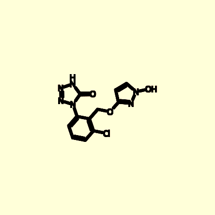 O=c1[nH]nnn1-c1cccc(Cl)c1COc1ccn(O)n1